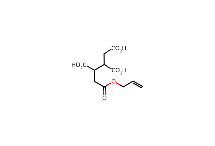 C=CCOC(=O)CC(C(=O)O)C(CC(=O)O)C(=O)O